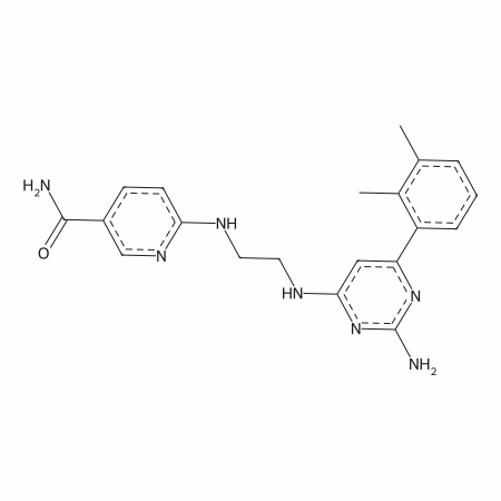 Cc1cccc(-c2cc(NCCNc3ccc(C(N)=O)cn3)nc(N)n2)c1C